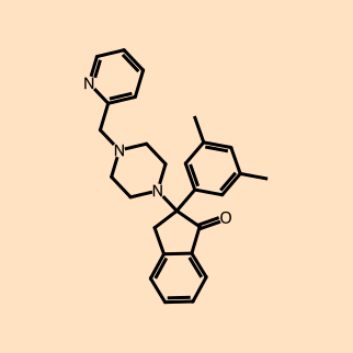 Cc1cc(C)cc(C2(N3CCN(Cc4ccccn4)CC3)Cc3ccccc3C2=O)c1